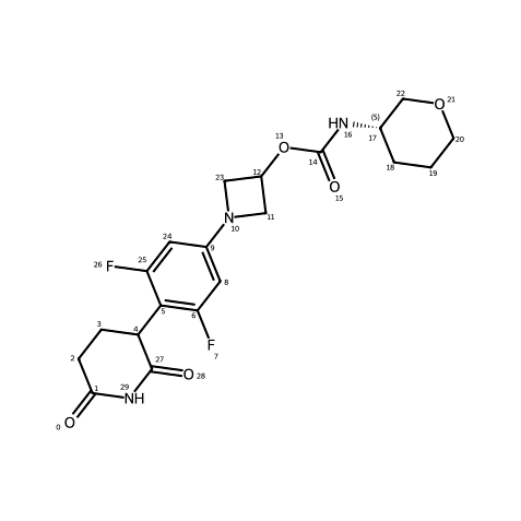 O=C1CCC(c2c(F)cc(N3CC(OC(=O)N[C@H]4CCCOC4)C3)cc2F)C(=O)N1